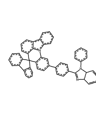 C1=CC2N=C(c3ccc(-c4ccc5c(c4)-n4c6ccccc6c6cccc(c64)C54c5ccccc5-c5ccccc54)cc3)N(c3ccccc3)C2C=C1